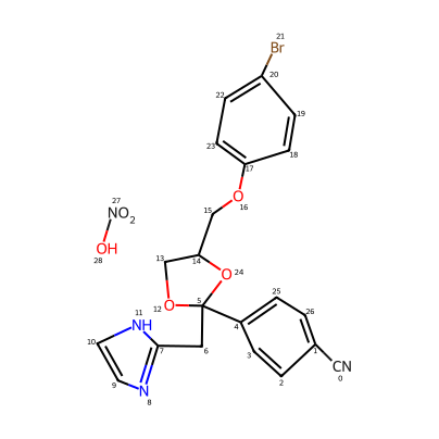 N#Cc1ccc(C2(Cc3ncc[nH]3)OCC(COc3ccc(Br)cc3)O2)cc1.O=[N+]([O-])O